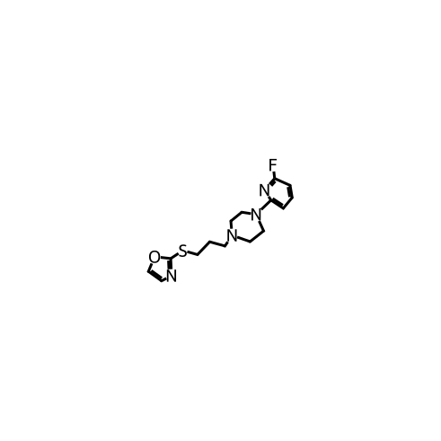 Fc1cccc(N2CCN(CCCSc3ncco3)CC2)n1